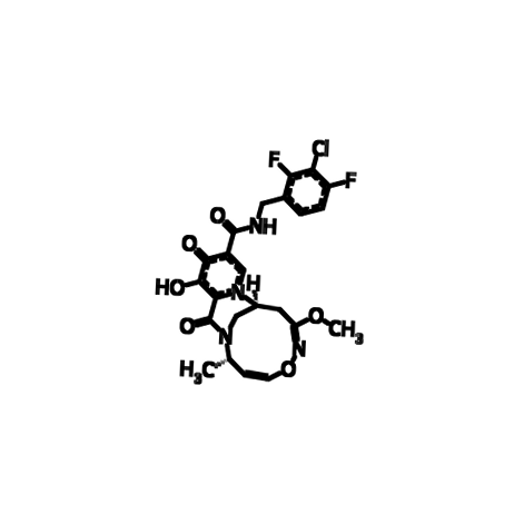 CO/C1=N/O/C=C\[C@H](C)N2C[C@H](C1)n1cc(C(=O)NCc3ccc(F)c(Cl)c3F)c(=O)c(O)c1C2=O